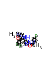 CC(C(=O)Nc1cc(-c2[nH]c3ccn(C)c(=O)c3c2-c2ccc(F)c(F)c2)ccn1)c1ccc(F)cc1